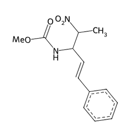 COC(=O)NC(/C=C/c1ccccc1)C(C)[N+](=O)[O-]